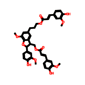 COc1cc(C=CC(=O)OCCCc2cc(OC)c3c(c2)C(COC(=O)C=Cc2ccc(O)c(OC)c2)C(c2ccc(O)c(OC)c2)O3)ccc1O